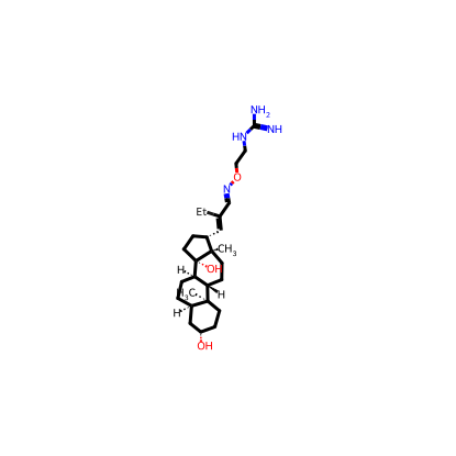 CCC(/C=N/OCCNC(=N)N)=C\[C@H]1CC[C@]2(O)[C@@H]3CC[C@@H]4C[C@@H](O)CC[C@]4(C)[C@H]3CC[C@]12C